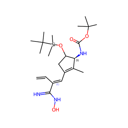 C=C/C(=C\C1=C(C)[C@H](NC(=O)OC(C)(C)C)C(O[Si](C)(C)C(C)(C)C)C1)C(=N)NO